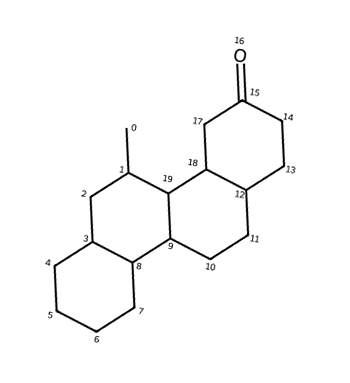 CC1CC2CCCCC2C2CCC3CCC(=O)CC3C12